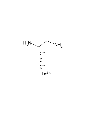 NCCN.[Cl-].[Cl-].[Cl-].[Fe+3]